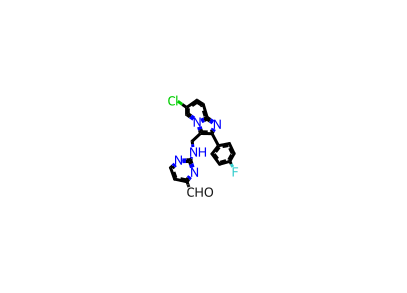 O=Cc1ccnc(NCc2c(-c3ccc(F)cc3)nc3ccc(Cl)cn23)n1